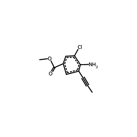 CC#Cc1cc(C(=O)OC)cc(Cl)c1N